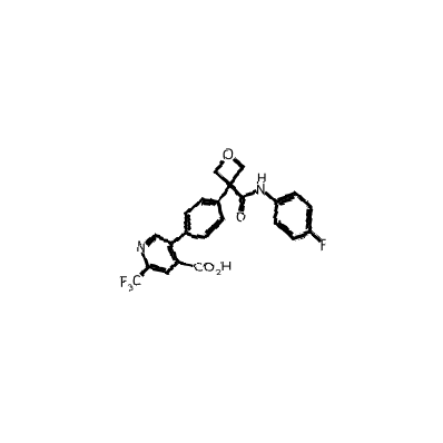 O=C(O)c1cc(C(F)(F)F)ncc1-c1ccc(C2(C(=O)Nc3ccc(F)cc3)COC2)cc1